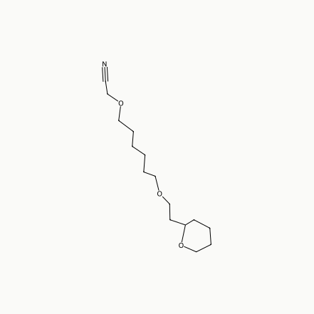 N#CCOCCCCCCOCCC1CCCCO1